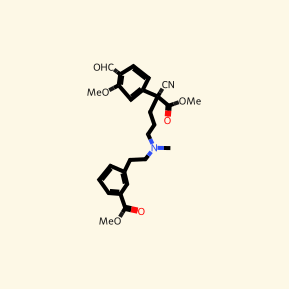 COC(=O)c1cccc(CCN(C)CCCC(C#N)(C(=O)OC)c2ccc(C=O)c(OC)c2)c1